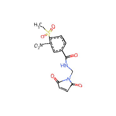 CS(=O)(=O)c1ccc(C(=O)NCN2C(=O)C=CC2=O)cc1[N+](=O)[O-]